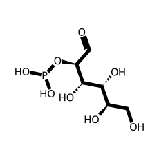 O=C[C@H](OP(O)O)[C@@H](O)[C@H](O)[C@H](O)CO